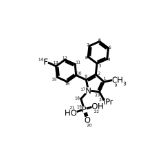 Cc1c(-c2ccccc2)c(-c2ccc(F)cc2)n(CP(=O)(O)O)c1C(C)C